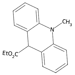 CCOC(=O)C1c2ccccc2N(C)c2ccccc21